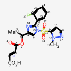 CNC(OC(=O)/C=C/C(=O)O)c1cn(S(=O)(=O)c2ccnn2C)c(-c2ccccc2F)n1